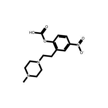 CN1CCN(CCc2cc([N+](=O)[O-])ccc2OC(=O)O)CC1